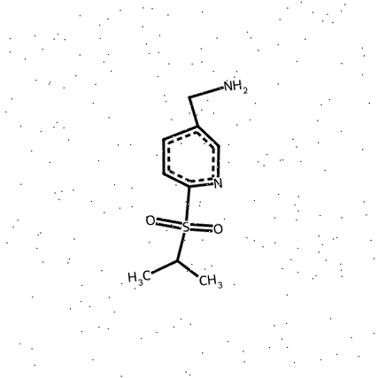 CC(C)S(=O)(=O)c1ccc(CN)cn1